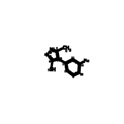 Cc1nnc(S)n1-c1cccc(F)c1